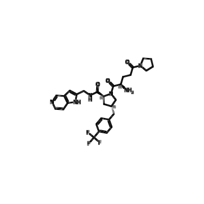 N[C@H](CCC(=O)N1CCCC1)C(=O)N1C[C@H](Cc2ccc(C(F)(F)F)cc2)C[C@H]1C(=O)NCc1cc2cnccc2[nH]1